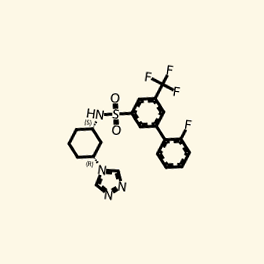 O=S(=O)(N[C@H]1CCC[C@@H](n2cnnc2)C1)c1cc(-c2ccccc2F)cc(C(F)(F)F)c1